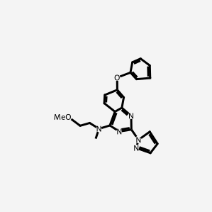 COCCN(C)c1nc(-n2cccn2)nc2cc(Oc3ccccc3)ccc12